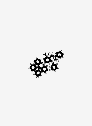 CC1(C)c2ccc(N3c4ccccc4C(c4ccccc4)(c4ccccc4)c4ccccc43)cc2N(c2ccccc2)c2nc3ccccc3n21